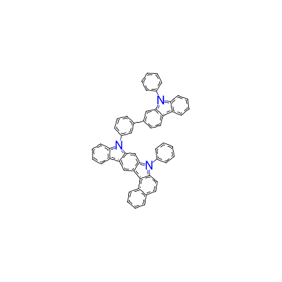 c1ccc(-n2c3ccccc3c3ccc(-c4cccc(-n5c6ccccc6c6cc7c8c9ccccc9ccc8n(-c8ccccc8)c7cc65)c4)cc32)cc1